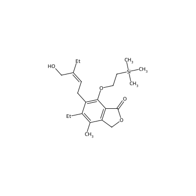 CC/C(=C/Cc1c(CC)c(C)c2c(c1OCC[Si](C)(C)C)C(=O)OC2)CO